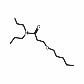 CCCCCOCCC(=O)N(CCC)CCC